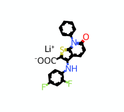 O=C([O-])c1sc2c(ccc(=O)n2-c2ccccc2)c1Nc1ccc(F)cc1F.[Li+]